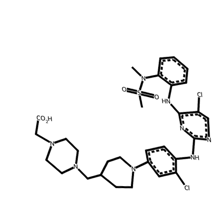 CN(c1ccccc1Nc1nc(Nc2ccc(N3CCC(CN4CCN(CC(=O)O)CC4)CC3)cc2Cl)ncc1Cl)S(C)(=O)=O